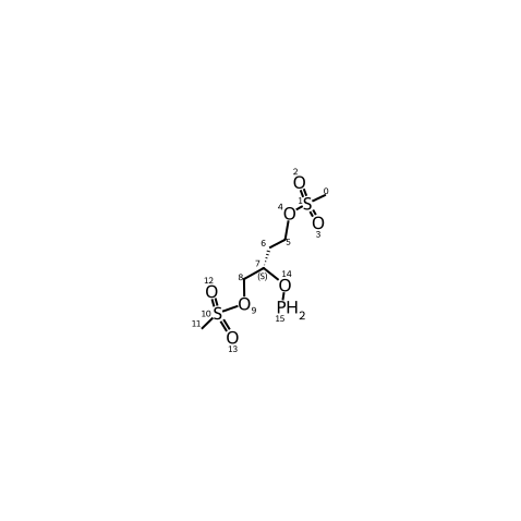 CS(=O)(=O)OCC[C@@H](COS(C)(=O)=O)OP